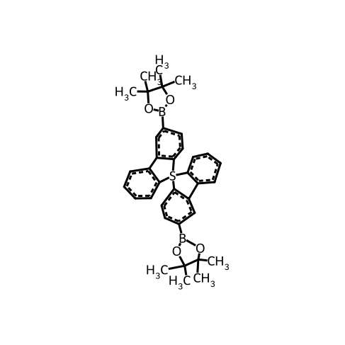 CC1(C)OB(c2ccc3c(c2)-c2ccccc2S32c3ccccc3-c3cc(B4OC(C)(C)C(C)(C)O4)ccc32)OC1(C)C